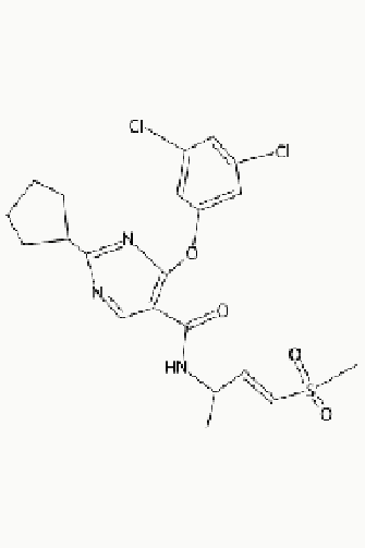 CC(C=CS(C)(=O)=O)NC(=O)c1cnc(C2CCCC2)nc1Oc1cc(Cl)cc(Cl)c1